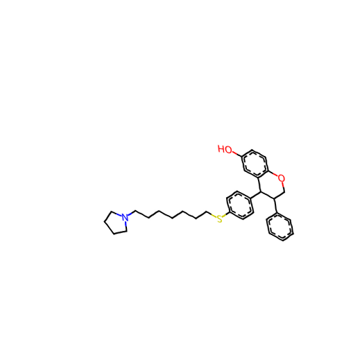 Oc1ccc2c(c1)C(c1ccc(SCCCCCCCN3CCCC3)cc1)C(c1ccccc1)CO2